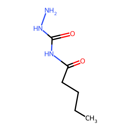 CCCCC(=O)NC(=O)NN